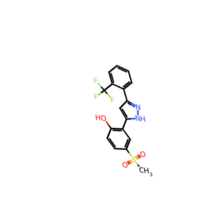 CS(=O)(=O)c1ccc(O)c(-c2cc(-c3ccccc3C(F)(F)F)n[nH]2)c1